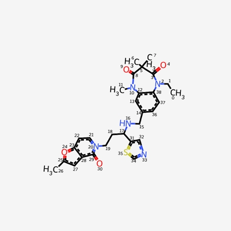 CCN1C(=O)C(C)(C)C(=O)N(C)c2cc(CNC(CCn3ccc4oc(C)cc4c3=O)c3cncs3)ccc21